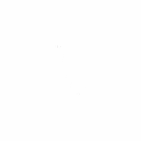 OCCc1ccc2cocc2c1